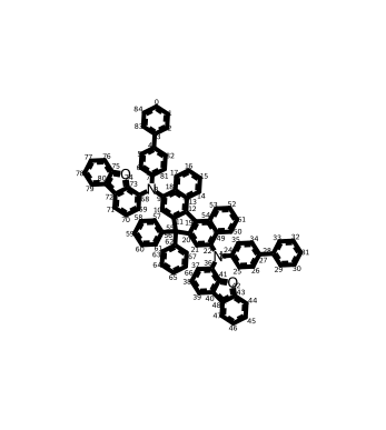 c1ccc(-c2ccc(N(c3cc4c(c5ccccc35)-c3c(cc(N(c5ccc(-c6ccccc6)cc5)c5cccc6c5oc5ccccc56)c5ccccc35)C4(c3ccccc3)c3ccccc3)c3cccc4c3oc3ccccc34)cc2)cc1